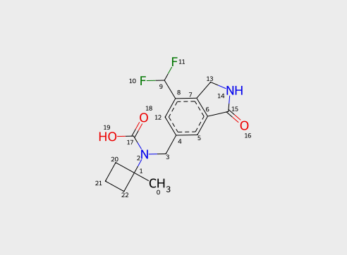 CC1(N(Cc2cc3c(c(C(F)F)c2)CNC3=O)C(=O)O)CCC1